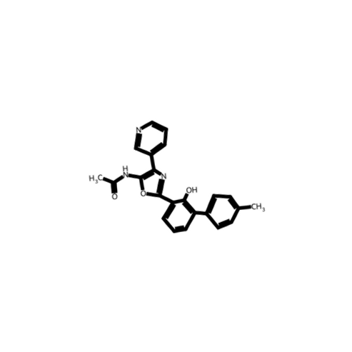 CC(=O)Nc1oc(-c2cccc(-c3ccc(C)cc3)c2O)nc1-c1cccnc1